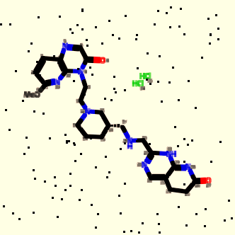 COc1ccc2ncc(=O)n(CCN3CCC[C@@H](CNCC4=NC=C5CCC(=O)N=C5N4)C3)c2n1.Cl.Cl